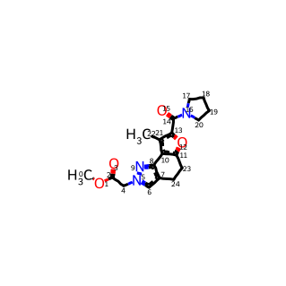 COC(=O)Cn1cc2c(n1)-c1c(oc(C(=O)N3CCCC3)c1C)CC2